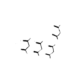 CC(=O)CC(=O)[O-].CC(=O)CC(=O)[O-].CC(=O)CC(=O)[O-].CC(=O)CC(=O)[O-].[Cu+2].[Zn+2]